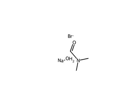 CN(C)C=O.O.[Br-].[Na+]